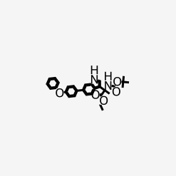 CCOC(=O)C(C)(NC(=O)OC(C)(C)C)c1c[nH]c2cc(-c3ccc(Oc4ccccc4)cc3)ccc12